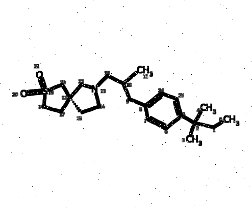 CCC(C)(C)c1ccc(CC(C)CN2CC[C@@]3(CCS(=O)(=O)C3)C2)cc1